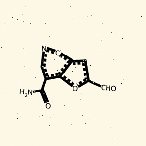 NC(=O)c1cncc2cc(C=O)oc12